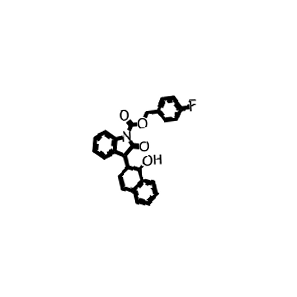 O=C(OCc1ccc(F)cc1)N1C(=O)C(C2C=Cc3ccccc3C2O)c2ccccc21